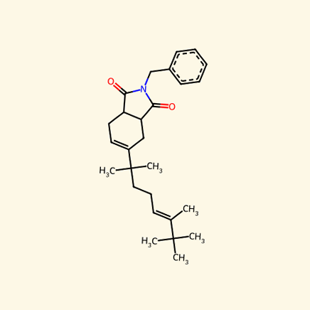 C/C(=C\CCC(C)(C)C1=CCC2C(=O)N(Cc3ccccc3)C(=O)C2C1)C(C)(C)C